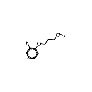 CCCCOc1cc[c]cc1F